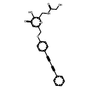 O=C(CO)NCc1oc(COc2ccc(C#CC#Cc3ccccc3)cc2)cc(=O)c1O